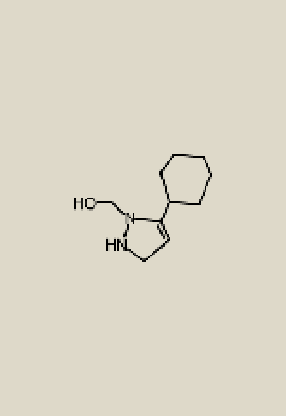 OCN1NCC=C1C1CCCCC1